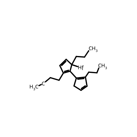 CCCCC1=C(C2=C(CCC)C=CC2)[C]([Hf])(CCC)C=C1